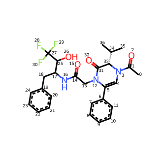 CC(=O)N1C=C(c2ccccc2)N(CC(=O)NC(Cc2ccccc2)C(O)C(F)(F)F)C(=O)[C@@H]1C(C)C